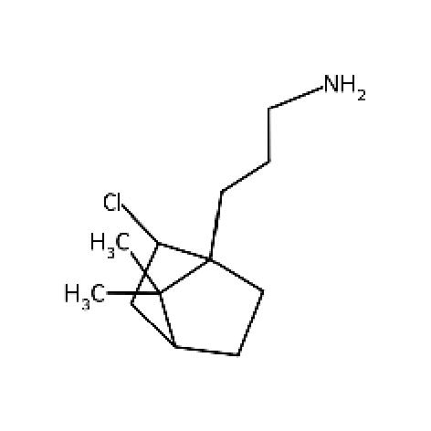 CC1(C)C2CCC1(CCCN)C(Cl)C2